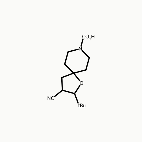 CC(C)(C)C1OC2(CCN(C(=O)O)CC2)CC1C#N